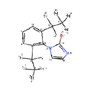 [2H]C([2H])([2H])C([2H])(C)c1cccc(C([2H])(C)C([2H])([2H])[2H])c1-n1ccnc1Br